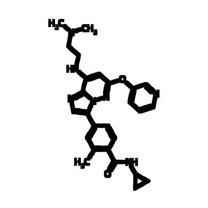 Cc1cc(-c2cnc3c(NCCN(C)C)cc(Oc4cccnc4)nn23)ccc1C(=O)NC1CC1